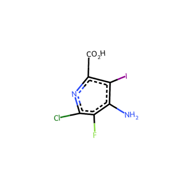 Nc1c(F)c(Cl)nc(C(=O)O)c1I